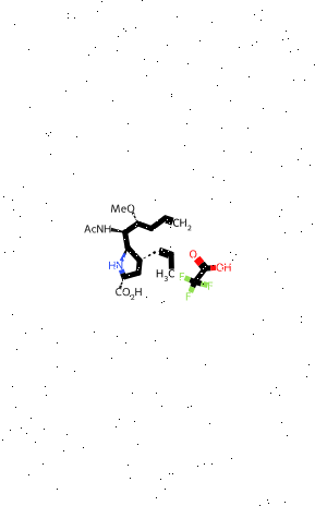 C=CC[C@@H](OC)[C@H](NC(C)=O)[C@@H]1N[C@@H](C(=O)O)C[C@H]1/C=C\C.O=C(O)C(F)(F)F